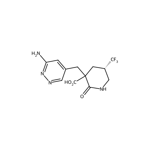 Nc1cc(CC2(C(=O)O)C[C@H](C(F)(F)F)CNC2=O)cnn1